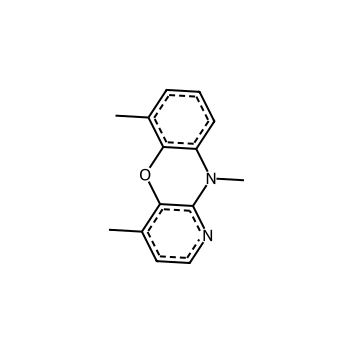 Cc1cccc2c1Oc1c(C)ccnc1N2C